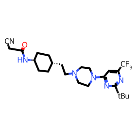 CC(C)(C)c1nc(N2CCN(CC[C@H]3CC[C@H](NC(=O)CC#N)CC3)CC2)cc(C(F)(F)F)n1